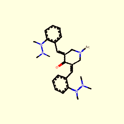 CC(=O)N1CC(=Cc2ccccc2N(C)N(C)C)C(=O)C(=Cc2ccccc2N(C)N(C)C)C1